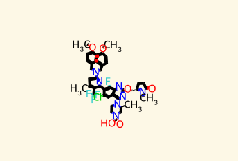 COc1ccc(CN(Cc2ccc(OC)cc2)c2cc(C)c(C(F)(F)F)c(-c3c(Cl)cc4c(N5CCN(C(=O)O)C[C@@H]5C)nc(OC[C@@H]5CCC(=O)N5C)nc4c3F)n2)cc1